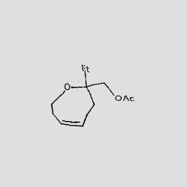 CCC1(COC(C)=O)CC=CCO1